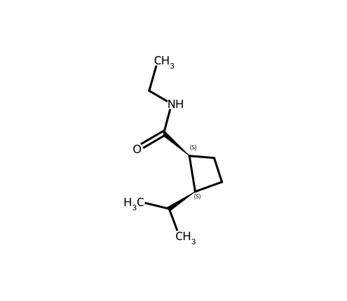 CCNC(=O)[C@H]1CC[C@H]1C(C)C